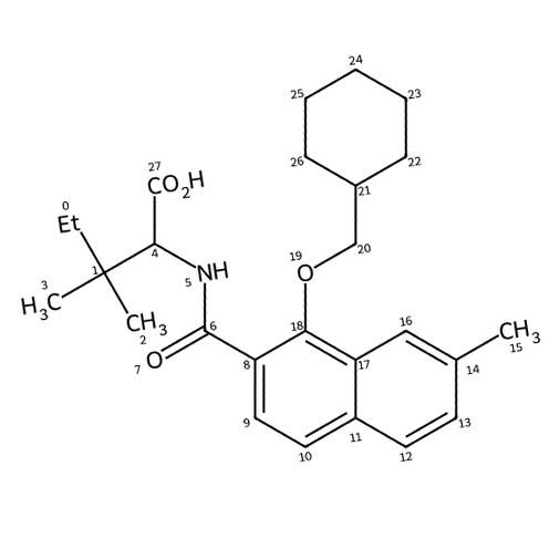 CCC(C)(C)C(NC(=O)c1ccc2ccc(C)cc2c1OCC1CCCCC1)C(=O)O